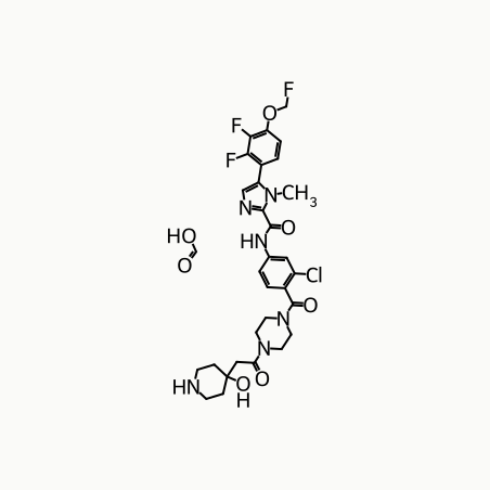 Cn1c(-c2ccc(OCF)c(F)c2F)cnc1C(=O)Nc1ccc(C(=O)N2CCN(C(=O)CC3(O)CCNCC3)CC2)c(Cl)c1.O=CO